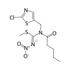 CCCCC(=O)N(Cc1cnc(Cl)s1)/C(=N/[N+](=O)[O-])SC